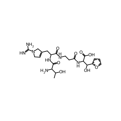 CC(O)C(N)C(=O)NC(CC1=CCN(C(=N)N)C1)C(=O)NCCC(=O)NC(C(=O)O)C(O)c1ccco1